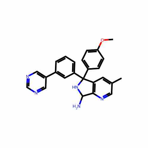 COc1ccc(C2(c3cccc(-c4cncnc4)c3)NC(N)c3ncc(C)cc32)cc1